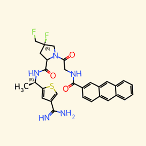 C[C@@H](NC(=O)C1C[C@](F)(CF)CN1C(=O)CNC(=O)c1ccc2cc3ccccc3cc2c1)c1cc(C(=N)N)cs1